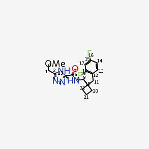 COCc1nnc(C(=O)NCC2(Cc3ccc(F)cc3F)CCC2)[nH]1